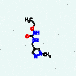 CCONC(=O)NCc1cnn(C)c1